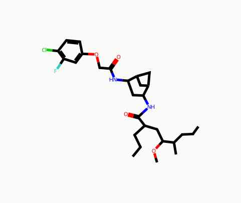 CCCC(CC(OC)C(C)CCC)C(=O)NC1CC(NC(=O)COc2ccc(Cl)c(F)c2)C2CC1C2